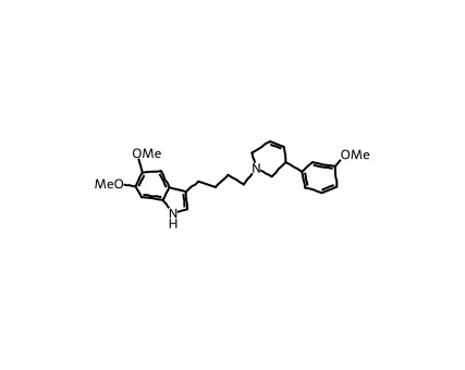 COc1cccc(C2C=CCN(CCCCc3c[nH]c4cc(OC)c(OC)cc34)C2)c1